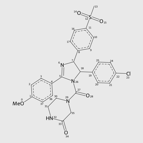 COc1ccc(C2=NC(c3ccc(S(C)(=O)=O)cc3)C(c3ccc(Cl)cc3)N2C(=O)N2CCNC(=O)C2)cc1